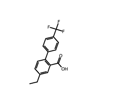 CCc1ccc(-c2ccc(C(F)(F)F)cc2)c(C(=O)O)c1